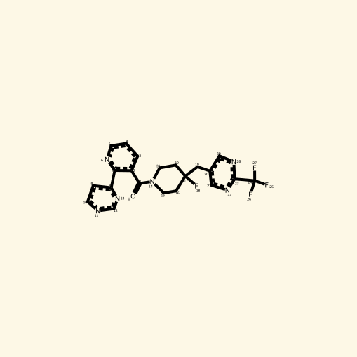 O=C(c1cccnc1-c1ccncn1)N1CCC(F)(Cc2cnc(C(F)(F)F)nc2)CC1